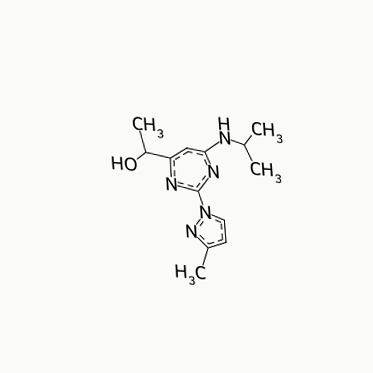 Cc1ccn(-c2nc(NC(C)C)cc(C(C)O)n2)n1